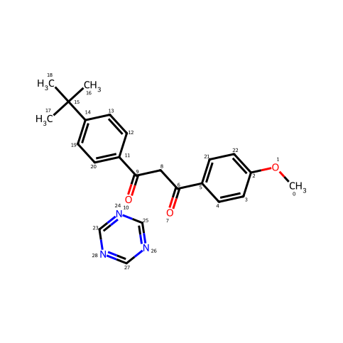 COc1ccc(C(=O)CC(=O)c2ccc(C(C)(C)C)cc2)cc1.c1ncncn1